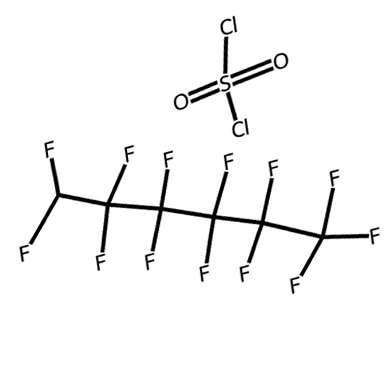 FC(F)C(F)(F)C(F)(F)C(F)(F)C(F)(F)C(F)(F)F.O=S(=O)(Cl)Cl